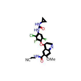 COc1cc2nccc(Oc3c(F)cc(NC(=O)NC4CC4)c(Cl)c3F)c2cc1C(=O)NCCC#N